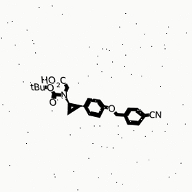 CC(C)(C)OC(=O)N(CC(=O)O)[C@@H]1C[C@H]1c1ccc(OCc2ccc(C#N)cc2)cc1